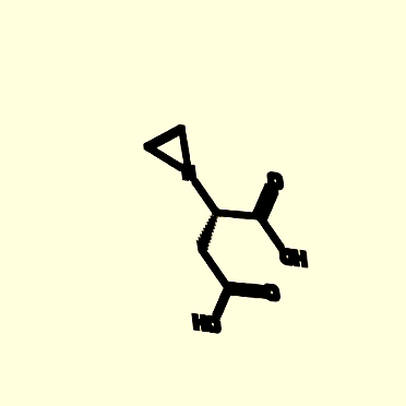 O=C(O)C[C@@H](C(=O)O)N1CC1